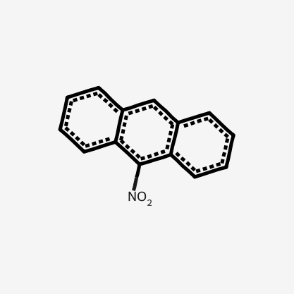 O=[N+]([O-])c1c2ccccc2cc2ccccc12